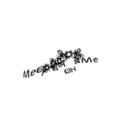 CN[C@@H]1CCN(C(=O)C2CCN(C(=O)c3ccc(Nc4nccn5c(-c6ccc(OC)c(F)c6)cnc45)cc3C)CC2)C1.Cl